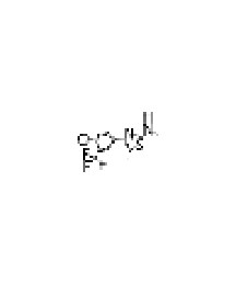 CNc1nc(-c2ccc(OC)c(C(F)(F)F)c2)c(C)s1